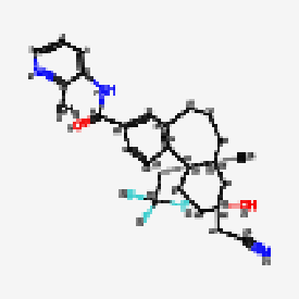 Cc1ncccc1NC(=O)c1ccc2c(c1)CCC[C@H]1C[C@@](O)(CC#N)CC[C@@]21CC(F)(F)F